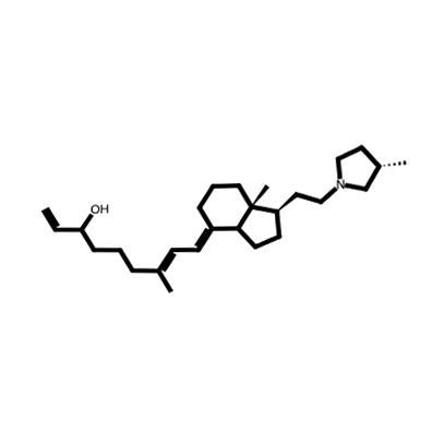 C=CC(O)CCC/C(C)=C/C=C1\CCC[C@@]2(C)C1CC[C@@H]2CCN1CC[C@H](C)C1